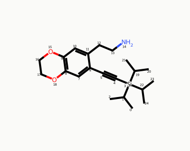 CC(C)[Si](C#Cc1cc2c(cc1CCN)OCCO2)(C(C)C)C(C)C